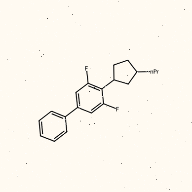 CCCC1CCC(c2c(F)cc(-c3ccccc3)cc2F)C1